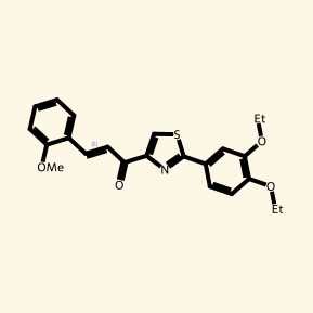 CCOc1ccc(-c2nc(C(=O)/C=C/c3ccccc3OC)cs2)cc1OCC